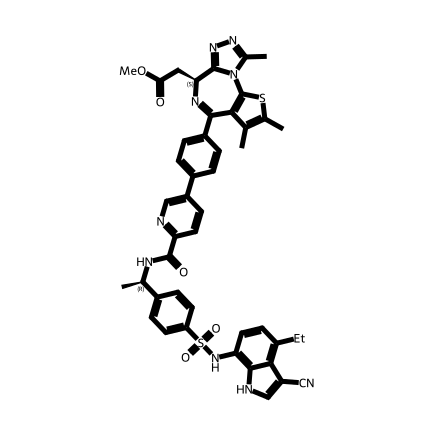 CCc1ccc(NS(=O)(=O)c2ccc([C@@H](C)NC(=O)c3ccc(-c4ccc(C5=N[C@@H](CC(=O)OC)c6nnc(C)n6-c6sc(C)c(C)c65)cc4)cn3)cc2)c2[nH]cc(C#N)c12